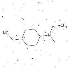 CN(CC(F)(F)F)C1CCC(CC#N)CC1